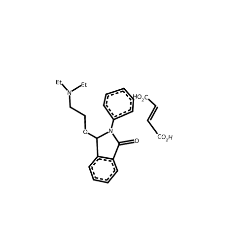 CCN(CC)CCOC1c2ccccc2C(=O)N1c1ccccc1.O=C(O)C=CC(=O)O